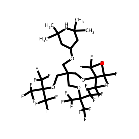 CC1(C)CC(OCC(COC(C(F)(F)F)(C(F)(F)F)C(F)(F)F)(COC(C(F)(F)F)(C(F)(F)F)C(F)(F)F)COC(C(F)(F)F)(C(F)(F)F)C(F)(F)F)CC(C)(C)N1